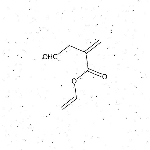 C=COC(=O)C(=C)CC=O